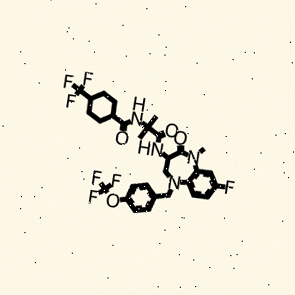 CN1C(=O)C(NC(=O)C(C)(C)NC(=O)C2CCC(C(F)(F)F)CC2)CN(Cc2ccc(OC(F)(F)F)cc2)c2ccc(F)cc21